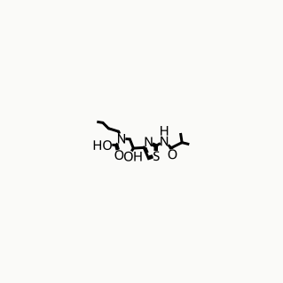 CCCCN(CC(O)c1csc(NC(=O)C(C)C)n1)C(=O)O